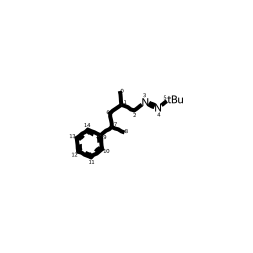 CC(CN=NC(C)(C)C)CC(C)c1ccccc1